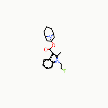 Cc1c(C(=O)OC2CC3CCCC(C2)N3C)c2ccccc2n1CCF